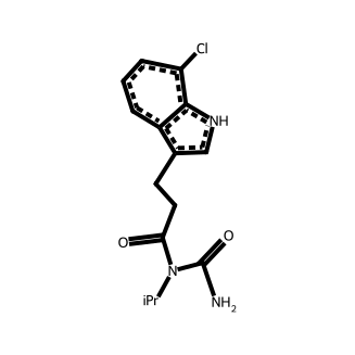 CC(C)N(C(N)=O)C(=O)CCc1c[nH]c2c(Cl)cccc12